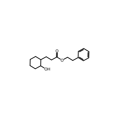 O=C(CCC1CCCCC1O)OCCc1ccccc1